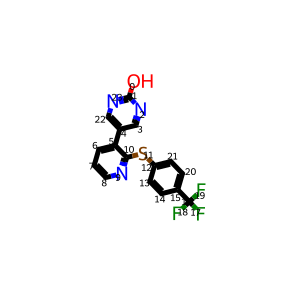 Oc1ncc(-c2cccnc2Sc2ccc(C(F)(F)F)cc2)cn1